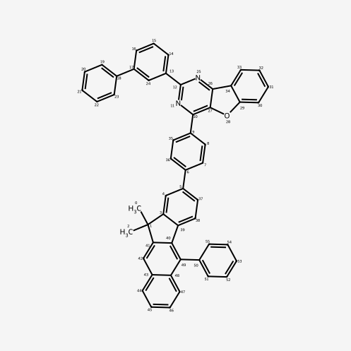 CC1(C)c2cc(-c3ccc(-c4nc(-c5cccc(-c6ccccc6)c5)nc5c4oc4ccccc45)cc3)ccc2-c2c1cc1ccccc1c2-c1ccccc1